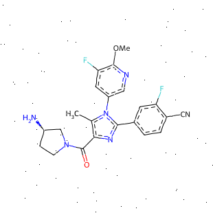 COc1ncc(-n2c(-c3ccc(C#N)c(F)c3)nc(C(=O)N3CC[C@@H](N)C3)c2C)cc1F